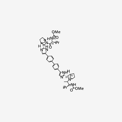 COC(=O)N[C@@H](C(C)C)C(C)N1C2CC[C@@H](C2)[C@H]1c1ncc(-c2ccc(-c3ccc(-c4cnc([C@@H]5[C@H]6CC[C@H](C6)N5C(=O)[C@@H](NC(=O)OC)C(C)C)[nH]4)cc3)cc2)[nH]1